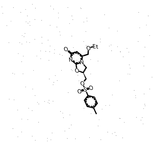 CCOCc1cc(=O)nc2n1C[C@@H](COS(=O)(=O)c1ccc(C)cc1)O2